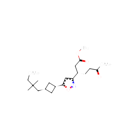 COCC(C)(C)C[C@H]1C[C@@H](c2cc([C@@H](CCC(=O)OC)CC(=O)OC(C)(C)C)no2)C1